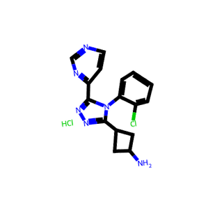 Cl.NC1CC(c2nnc(-c3ccncn3)n2-c2ccccc2Cl)C1